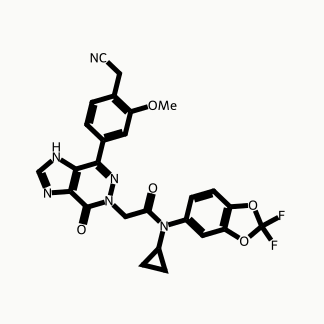 COc1cc(-c2nn(CC(=O)N(c3ccc4c(c3)OC(F)(F)O4)C3CC3)c(=O)c3nc[nH]c23)ccc1CC#N